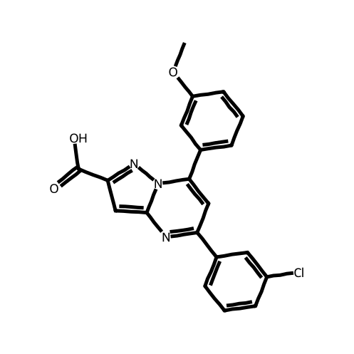 COc1cccc(-c2cc(-c3cccc(Cl)c3)nc3cc(C(=O)O)nn23)c1